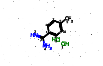 Cl.Cl.N=C(N)c1ccc(C(F)(F)F)cc1